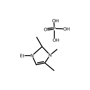 CCN1C=C(C)N(C)C1C.O=P(O)(O)O